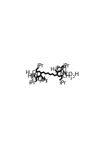 CC(C)CCC1(C)CC(CCCCCCC2CC(C)(CCC(C)C)N(NC(=O)O)C(C)(CCC(C)C)C2CC(C)C)C(CC(C)C)C(C)(CCC(C)C)N1NC(=O)O